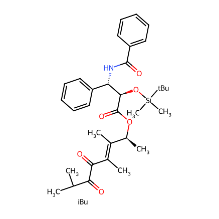 CC[C@H](C)C(C)(C)C(=O)C(=O)/C(C)=C(\C)[C@H](C)OC(=O)[C@H](O[Si](C)(C)C(C)(C)C)[C@@H](NC(=O)c1ccccc1)c1ccccc1